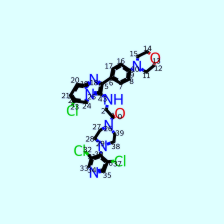 O=C(CNc1c(-c2ccc(N3CCOCC3)cc2)nc2ccc(Cl)cn12)N1CCN(c2c(Cl)cncc2Cl)CC1